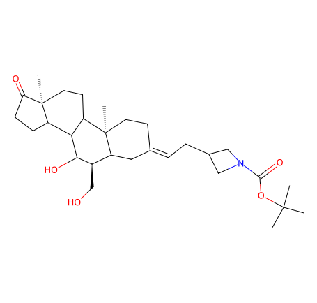 CC(C)(C)OC(=O)N1CC(C/C=C2\CC[C@]3(C)C4CC[C@]5(C)C(=O)CCC5C4C(O)[C@H](CO)C3C2)C1